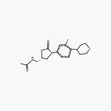 CC(=O)NC[C@H]1CN(c2ccc(C3CCSCC3)c(F)c2)C(=O)O1